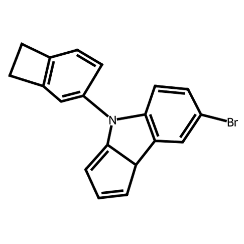 Brc1ccc2c(c1)C1C=CC=C1N2c1ccc2c(c1)CC2